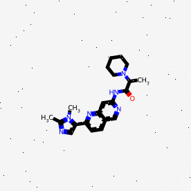 Cc1ncc(-c2ccc3cnc(NC(=O)C(C)N4CCCCC4)cc3n2)n1C